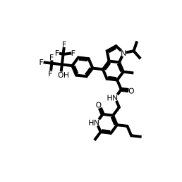 CCCc1cc(C)[nH]c(=O)c1CNC(=O)c1cc(-c2ccc(C(O)(C(F)(F)F)C(F)(F)F)cc2)c2ccn(C(C)C)c2c1C